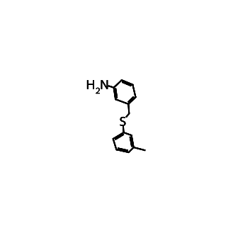 Cc1cccc(SCc2cccc(N)c2)c1